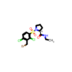 CCNC(=O)[C@@H]1CCCN1S(=O)(=O)c1ccc(Cl)c(CBr)c1Cl